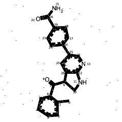 Cc1ccccc1C(=O)C1CNc2ncc(-c3ccc(C(N)=O)cc3)cc21